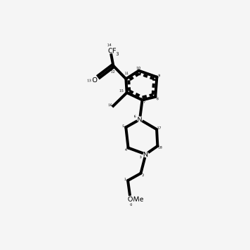 COCCN1CCN(c2cccc(C(=O)C(F)(F)F)c2C)CC1